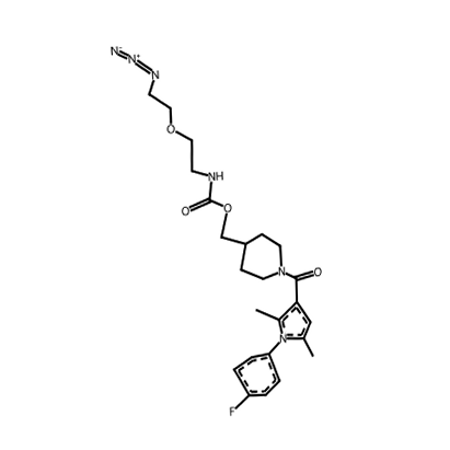 Cc1cc(C(=O)N2CCC(COC(=O)NCCOCCN=[N+]=[N-])CC2)c(C)n1-c1ccc(F)cc1